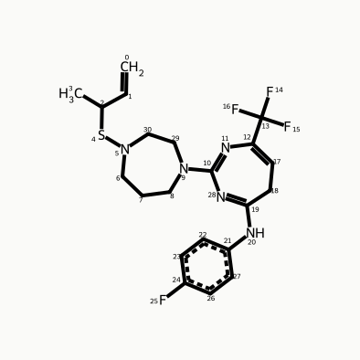 C=CC(C)SN1CCCN(C2=NC(C(F)(F)F)=CCC(Nc3ccc(F)cc3)=N2)CC1